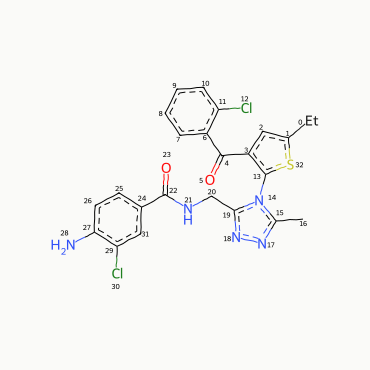 CCc1cc(C(=O)c2ccccc2Cl)c(-n2c(C)nnc2CNC(=O)c2ccc(N)c(Cl)c2)s1